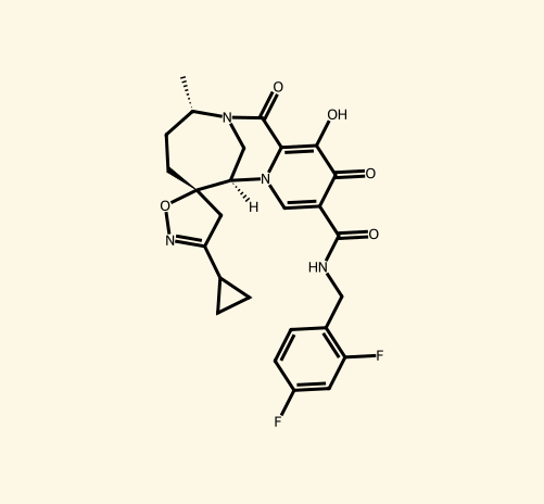 C[C@H]1CC[C@]2(CC(C3CC3)=NO2)[C@H]2CN1C(=O)c1c(O)c(=O)c(C(=O)NCc3ccc(F)cc3F)cn12